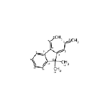 C=C/C=C1\C(=C/C)c2ccccc2C1(C)C